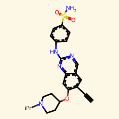 C#Cc1cc2cnc(Nc3ccc(S(N)(=O)=O)cc3)nc2cc1OC1CCN(C(C)C)CC1